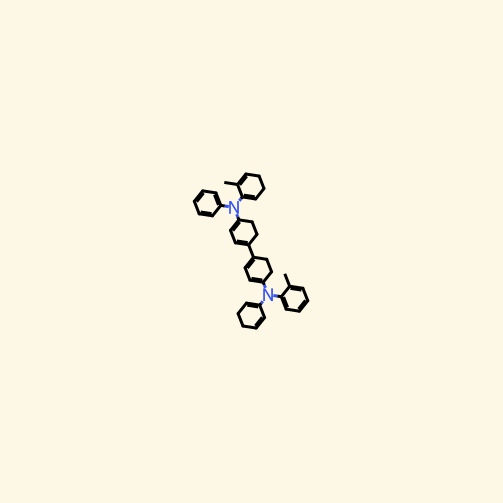 CC1=CCCC=C1N(C1=CC=C(C2=CC=C(N(C3=CCCC=C3)c3ccccc3C)CC2)CC1)c1ccccc1